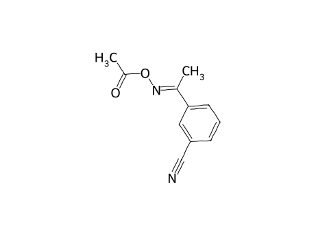 CC(=O)ON=C(C)c1cccc(C#N)c1